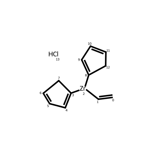 C=[CH][Zr]([C]1=CC=CC1)[C]1=CC=CC1.Cl